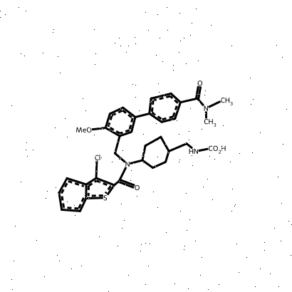 COc1ccc(-c2ccc(C(=O)N(C)C)cc2)cc1CN(C(=O)c1sc2ccccc2c1Cl)C1CCC(CNC(=O)O)CC1